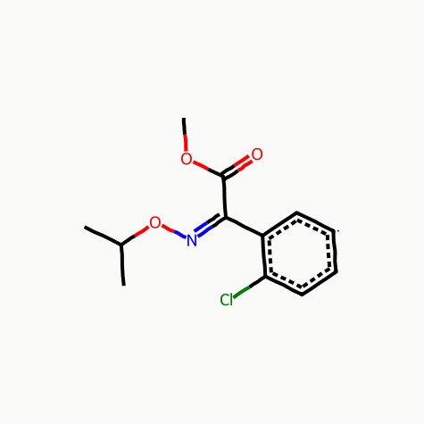 COC(=O)C(=NOC(C)C)c1c[c]ccc1Cl